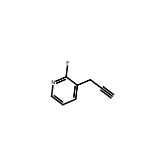 C#CCc1cccnc1F